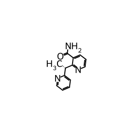 C[C@@H](c1ccccn1)c1ncccc1C(N)=O